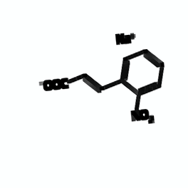 O=C([O-])C=Cc1ccccc1[N+](=O)[O-].[Na+]